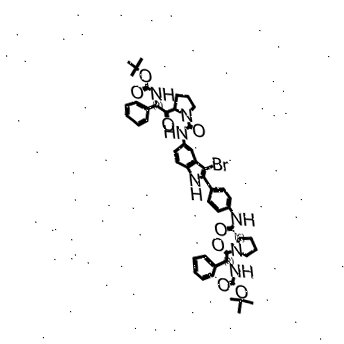 CC(C)(C)OC(=O)N[C@@H](C(=O)C1CCCN1C(=O)Nc1ccc2[nH]c(-c3ccc(NC(=O)[C@@H]4CCCN4C(=O)[C@H](NC(=O)OC(C)(C)C)c4ccccc4)cc3)c(Br)c2c1)c1ccccc1